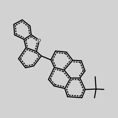 CC(C)(C)c1ccc2ccc3c(-c4cccc5c4oc4ccccc45)ccc4ccc1c2c43